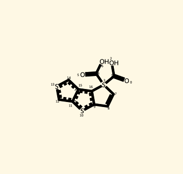 O=C(O)S1(C(=O)O)C=Cc2sc3cscc3c21